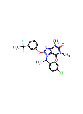 CC(c1ccc(Cl)cc1)n1c(Oc2cccc(C(C)(F)F)c2)nc2c1c(=O)n(C)c(=O)n2C